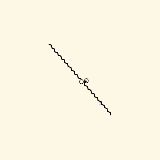 CCCCCC/C=C/CCCCCCCCCC(=O)OCCCCCCCCCCCCCCCCCCCC